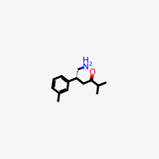 Cc1cccc([C@H](CN)CC(=O)C(C)C)c1